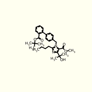 CCCCc1nc(C(C)(C)O)c(C(=O)OC)n1Cc1ccc(-c2ccccc2C(=O)OC(C)(C)C)cc1